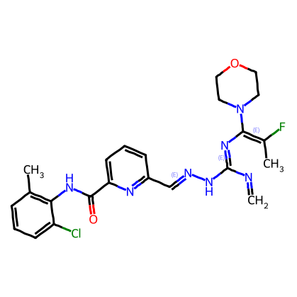 C=N/C(=N\C(=C(/C)F)N1CCOCC1)N/N=C/c1cccc(C(=O)Nc2c(C)cccc2Cl)n1